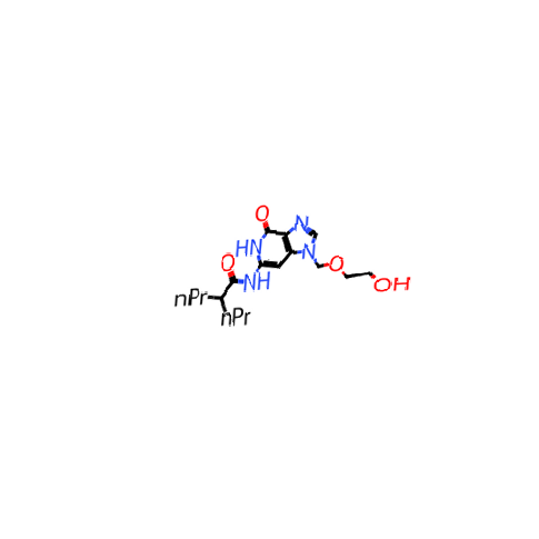 CCCC(CCC)C(=O)Nc1cc2c(ncn2COCCO)c(=O)[nH]1